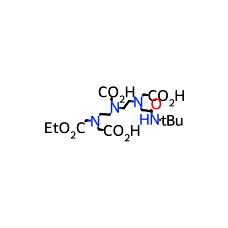 CCOC(=O)CN(CCN(CCN(CC(=O)O)CC(=O)NC(C)(C)C)CC(=O)O)CC(=O)O